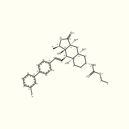 CCOC(=O)N[C@@H]1CC[C@@H]2[C@H](C1)C[C@@H]1C(=O)O[C@H](C)[C@H]1[C@@H]2/C=C/c1ccc(-c2cccc(F)c2)cn1